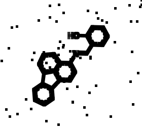 Oc1ccccc1C=Nc1ccc2c3c(cccc13)-c1ccccc1-2